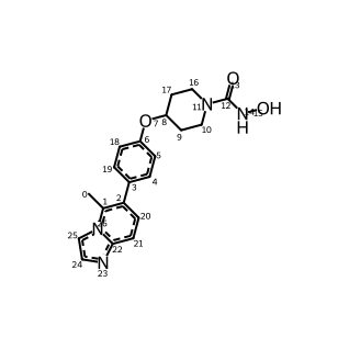 Cc1c(-c2ccc(OC3CCN(C(=O)NO)CC3)cc2)ccc2nccn12